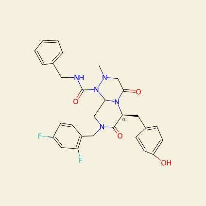 CN1CC(=O)N2C(CN(Cc3ccc(F)cc3F)C(=O)[C@@H]2Cc2ccc(O)cc2)N1C(=O)NCc1ccccc1